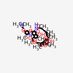 CO[C@H]1/C=C/O[C@@]2(C)Oc3c(C)c(O)c4c(=O)c(c5oc6cc(OCCN(C)C)cc(SC)c6nc-5c4c3C2=O)NC(=O)/C(C)=C\C=C\[C@H](C)[C@@H]2O[C@H]([C@H](O)[C@@H]2C)[C@H](OC(C)=O)[C@@H]1C